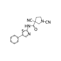 N#CN1CCC(C#N)(C(=O)Nc2ncc(-c3ccccc3)s2)C1